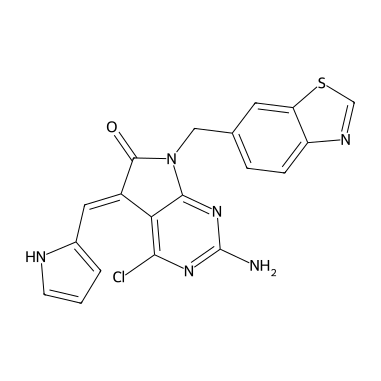 Nc1nc(Cl)c2c(n1)N(Cc1ccc3ncsc3c1)C(=O)/C2=C/c1ccc[nH]1